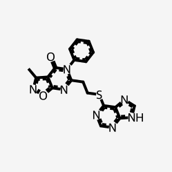 Cc1noc2nc(CCSc3ncnc4[nH]cnc34)n(-c3ccccc3)c(=O)c12